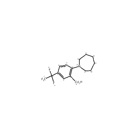 O=C(O)c1cc(C(F)(F)C(F)(F)F)cnc1N1CCCCCC1